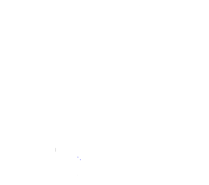 CN(C)CC=Cc1ccc(Sc2cccc(Cl)c2)cc1